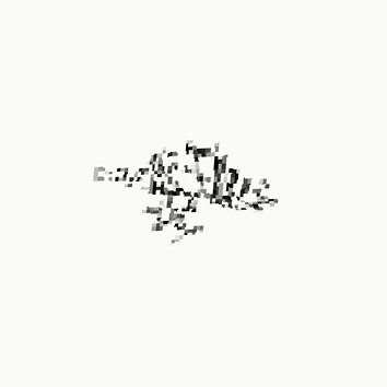 CCOC(=O)C1C2CCC(CC2)C1Nc1nc(-c2cn(S(=O)(=O)c3ccc(C)cc3)c3ncc(F)cc23)nn2c(C3CC3)ccc12